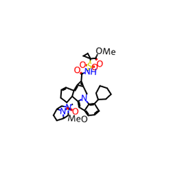 COC(=O)C1(S(=O)(=O)NC(=O)C2=C3Cn4c(cc5c(OC)ccc(C6CCCCC6)c54)C4C(=C32)C=CC[C@H]4C(=O)N2C3CCC2CN(C)C3)CC1